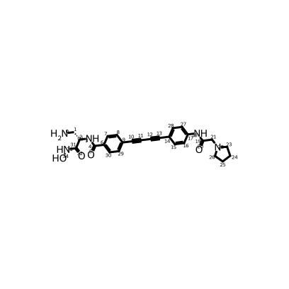 NC[C@H](NC(=O)c1ccc(C#CC#Cc2ccc(NC(=O)CN3CCCC3)cc2)cc1)C(=O)NO